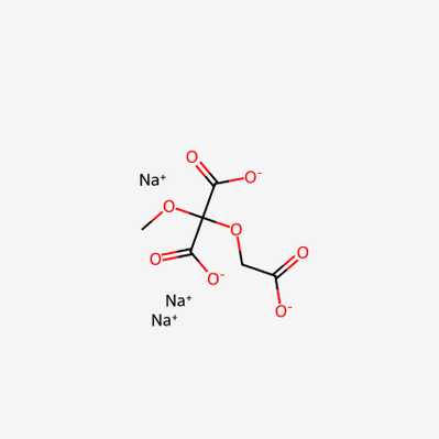 COC(OCC(=O)[O-])(C(=O)[O-])C(=O)[O-].[Na+].[Na+].[Na+]